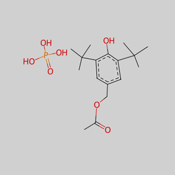 CC(=O)OCc1cc(C(C)(C)C)c(O)c(C(C)(C)C)c1.O=P(O)(O)O